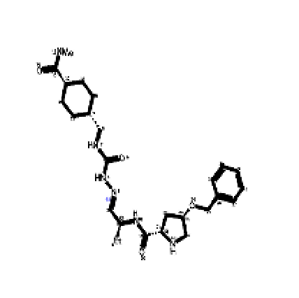 CC[C@@H](/C=N/NC(=O)NC[C@H]1CC[C@H](C(=O)NC)CC1)NC(=O)[C@@H]1C[C@@H](OCc2ccccc2)CN1